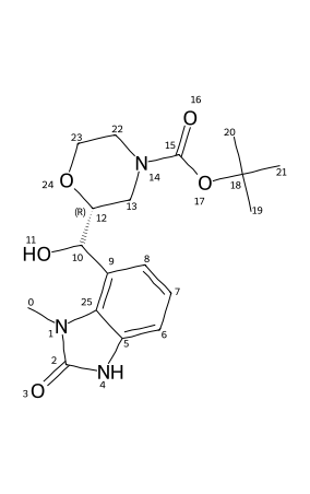 Cn1c(=O)[nH]c2cccc(C(O)[C@H]3CN(C(=O)OC(C)(C)C)CCO3)c21